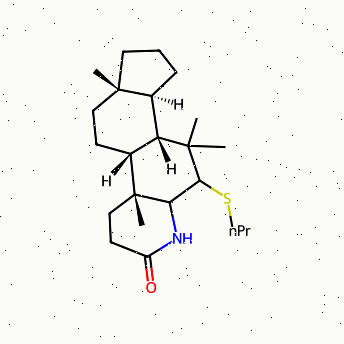 CCCSC1C2NC(=O)CC[C@]2(C)[C@@H]2CC[C@]3(C)CCC[C@H]3[C@@H]2C1(C)C